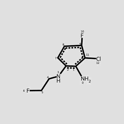 Nc1c(NCCF)ccc(F)c1Cl